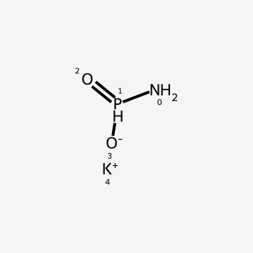 N[PH](=O)[O-].[K+]